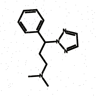 CN(C)CCC(c1ccccc1)n1nccn1